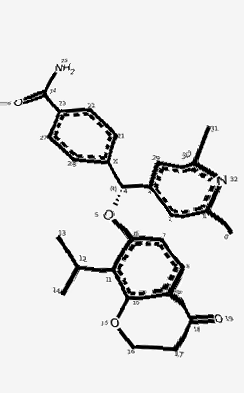 Cc1cc([C@H](Oc2ccc3c(c2C(C)C)OCCC3=O)c2ccc(C(N)=O)cc2)cc(C)n1